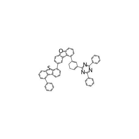 C1=C(c2nc(-c3ccccc3)nc(-c3ccccc3)n2)C=C(c2cccc3oc4ccc(-c5cccc6c5sc5cccc(-c7ccccc7)c56)cc4c23)CC1